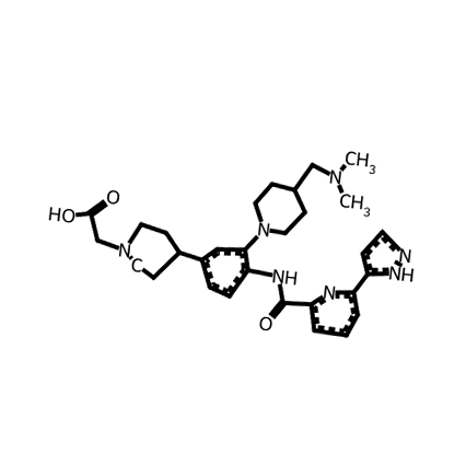 CN(C)CC1CCN(c2cc(C3CCN(CC(=O)O)CC3)ccc2NC(=O)c2cccc(-c3ccn[nH]3)n2)CC1